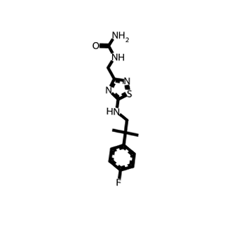 CC(C)(CNc1nc(CNC(N)=O)ns1)c1ccc(F)cc1